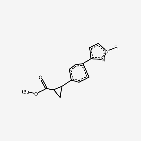 CCn1ccc(-c2ccc(C3CC3C(=O)OC(C)(C)C)cc2)n1